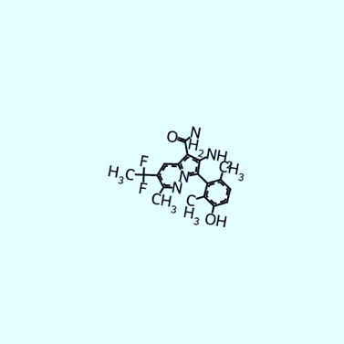 Cc1ccc(O)c(C)c1-c1c(N)c(C(N)=O)c2cc(C(C)(F)F)c(C)nn12